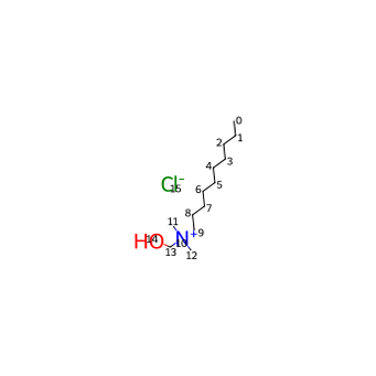 CCCCCCCCCC[N+](C)(C)CO.[Cl-]